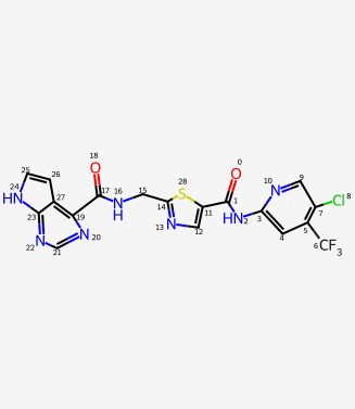 O=C(Nc1cc(C(F)(F)F)c(Cl)cn1)c1cnc(CNC(=O)c2ncnc3[nH]ccc23)s1